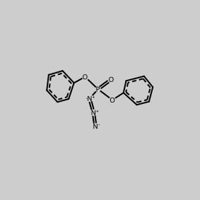 [N-]=[N+]=[N+]P(=O)(Oc1ccccc1)Oc1ccccc1